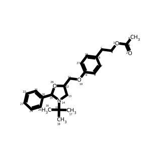 CC(=O)OCCc1ccc(OCC2CN(C(C)(C)C)C(c3ccccc3)O2)cc1